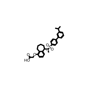 CC(C)c1cccc(-c2ccc(S(=O)(=O)N(C)C3CCCCc4c(OCC(=O)O)cccc43)cc2)c1